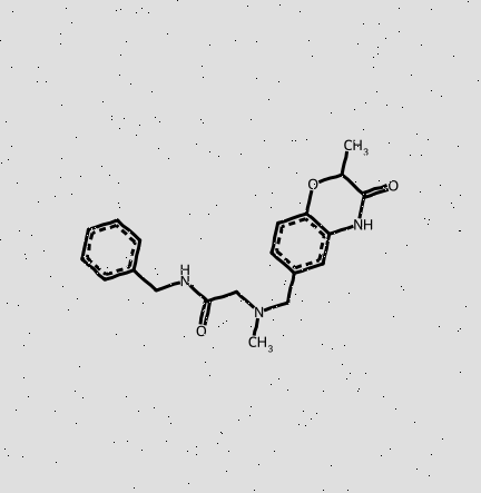 CC1Oc2ccc(CN(C)CC(=O)NCc3ccccc3)cc2NC1=O